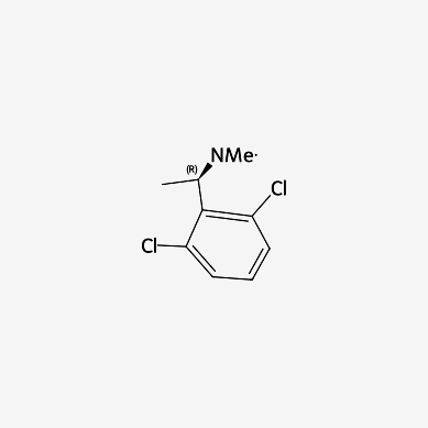 C[N][C@H](C)c1c(Cl)cccc1Cl